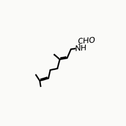 CC(C)=CCC/C(C)=C/CNC=O